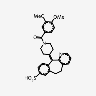 COc1ccc(C(=O)N2CCC(=C3c4ccc(S(=O)(=O)O)cc4CCc4cccnc43)CC2)cc1OC